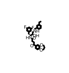 CCc1cccc(CNC[C@@H](O)[C@H](Cc2cc(F)cc(F)c2)NC(=O)CCC(=O)c2ccc3c(c2)OCCCO3)c1